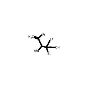 C=C(C(C)C)C(C(C)(C)C)C(O)(CC)CC